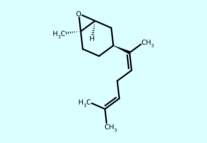 CC(C)=CC/C=C(/C)[C@H]1CC[C@@]2(C)O[C@H]2C1